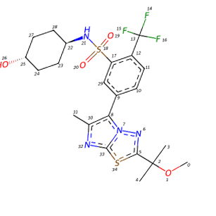 COC(C)(C)c1nn2c(-c3ccc(C(F)(F)F)c(S(=O)(=O)N[C@H]4CC[C@H](O)CC4)c3)c(C)nc2s1